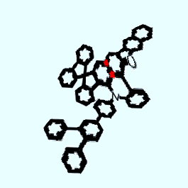 c1ccc(-c2ccc(-c3ccc(N(c4ccccc4-c4cccc5c4oc4cc6ccccc6cc45)c4cccc5c4-c4ccccc4C54c5ccccc5-c5ccccc54)cc3)cc2-c2ccccc2)cc1